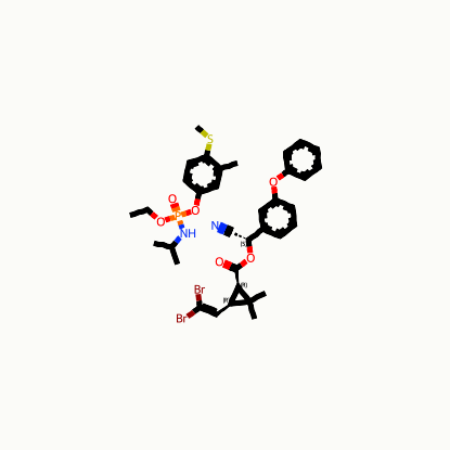 CC1(C)[C@H](C(=O)O[C@H](C#N)c2cccc(Oc3ccccc3)c2)[C@@H]1C=C(Br)Br.CCOP(=O)(NC(C)C)Oc1ccc(SC)c(C)c1